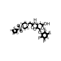 O=C(O)C[C@H](NC(=O)CN1CCN(S(=O)(=O)c2cccs2)CC1)C(=O)COc1c(F)c(F)cc(F)c1F